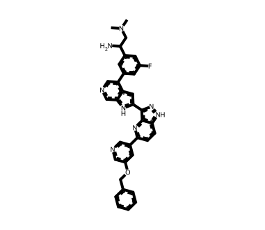 CN(C)CC(N)c1cc(F)cc(-c2cncc3[nH]c(-c4n[nH]c5ccc(-c6cncc(OCc7ccccc7)c6)nc45)cc23)c1